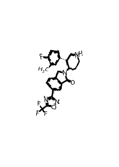 Cc1cc([C@@H]2CNCCC2N2Cc3ccc(-c4noc(C(F)(F)F)n4)cc3C2=O)ccc1F